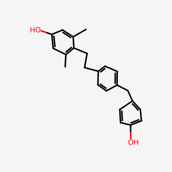 Cc1cc(O)cc(C)c1CCc1ccc(Cc2ccc(O)cc2)cc1